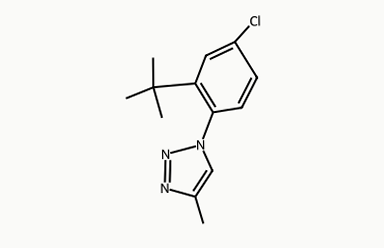 Cc1cn(-c2ccc(Cl)cc2C(C)(C)C)nn1